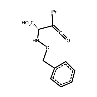 CC(C)C(=C=O)[C@H](NOCc1ccccc1)C(=O)O